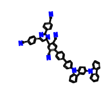 N#Cc1ccc(-c2cc(-c3cc(C#N)c(-c4ccc(-c5ccc(-n6c7ccccc7c7cc(-n8c9ccccc9c9ccccc98)ccc76)cc5)cc4)cc3C#N)nc(-c3ccc(C#N)cc3)n2)cc1